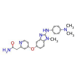 CN(C)c1ccc(Nc2nc3cc(Oc4ccnc(CC(N)=O)c4)ccc3n2C)cc1